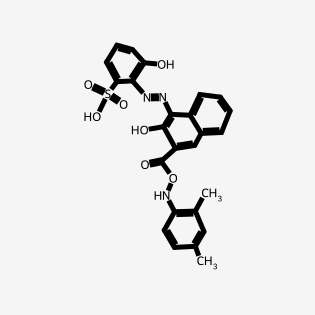 Cc1ccc(NOC(=O)c2cc3ccccc3c(N=Nc3c(O)cccc3S(=O)(=O)O)c2O)c(C)c1